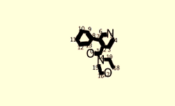 O=C(c1ccn[c]c1-c1ccccc1)N1CCOCC1